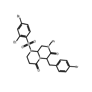 CCc1cc(Br)ccc1S(=O)(=O)N1CCC(=O)N2C(Cc3ccc(Br)cc3)C(=O)N(C(C)C)CC21